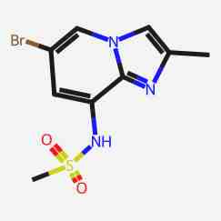 Cc1cn2cc(Br)cc(NS(C)(=O)=O)c2n1